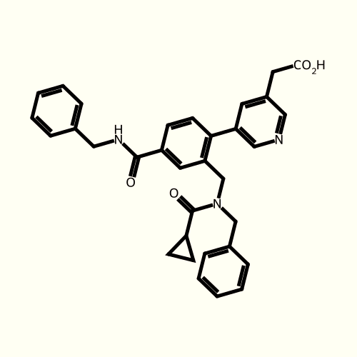 O=C(O)Cc1cncc(-c2ccc(C(=O)NCc3ccccc3)cc2CN(Cc2ccccc2)C(=O)C2CC2)c1